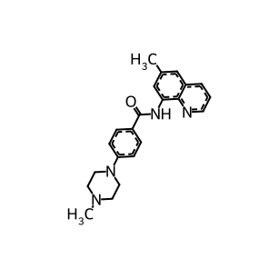 Cc1cc(NC(=O)c2ccc(N3CCN(C)CC3)cc2)c2ncccc2c1